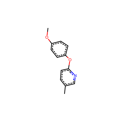 COc1ccc(Oc2ccc(C)cn2)cc1